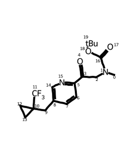 CN(CC(=O)c1ccc(CC2(C(F)(F)F)CC2)cn1)C(=O)OC(C)(C)C